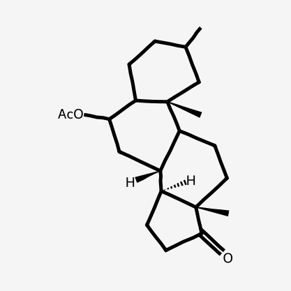 CC(=O)OC1C[C@@H]2C(CC[C@]3(C)C(=O)CC[C@@H]23)[C@@]2(C)CC(C)CCC12